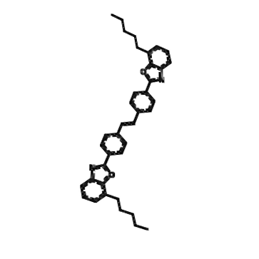 CCCCCc1cccc2nc(-c3ccc(C=Cc4ccc(-c5nc6cccc(CCCCC)c6o5)cc4)cc3)oc12